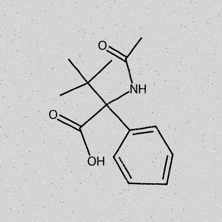 CC(=O)NC(C(=O)O)(c1ccccc1)C(C)(C)C